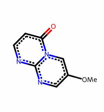 COc1cnc2nccc(=O)n2c1